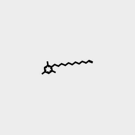 C=CCCCCCCCCCCc1c(C)cc(C)cc1C